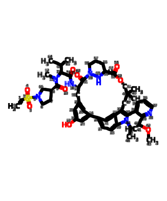 C=CS(=O)(=O)N1CC[C@H](C(=O)N(C)C(C(=O)N[C@H]2Cc3cc(O)cc(c3)-c3ccc4c(c3)c(c(-c3cccnc3[C@H](C)OC)n4CC)CC(C)(C)COC(=O)[C@@H]3CCCN(N3)C2=O)C(C)C)C1